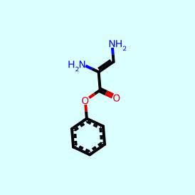 NC=C(N)C(=O)Oc1ccccc1